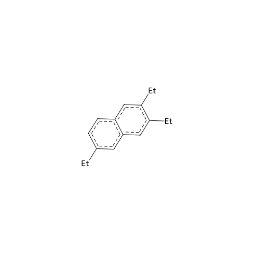 CCc1ccc2cc(CC)c(CC)cc2c1